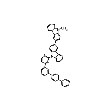 Cn1c2ccccc2c2cc(-c3ccc4c(c3)c3ccccc3n4-c3nccc(-c4cccc(-c5ccc(-c6ccccc6)cc5)c4)n3)ccc21